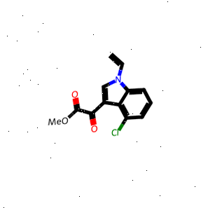 C=Cn1cc(C(=O)C(=O)OC)c2c(Cl)cccc21